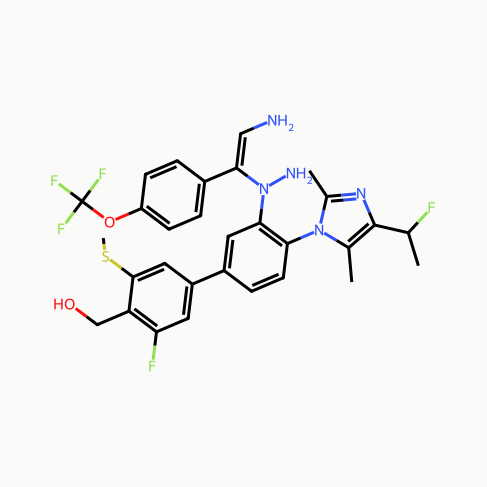 CSc1cc(-c2ccc(-n3c(C)nc(C(C)F)c3C)c(N(N)/C(=C\N)c3ccc(OC(F)(F)F)cc3)c2)cc(F)c1CO